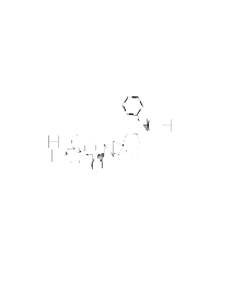 CN(c1ccccc1)C1COC2(C1)CN(C(=O)OC(C)(C)C)C2